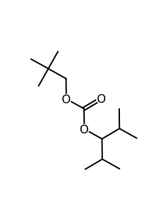 CC(C)C(OC(=O)OCC(C)(C)C)C(C)C